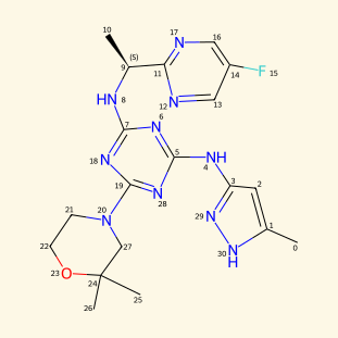 Cc1cc(Nc2nc(N[C@@H](C)c3ncc(F)cn3)nc(N3CCOC(C)(C)C3)n2)n[nH]1